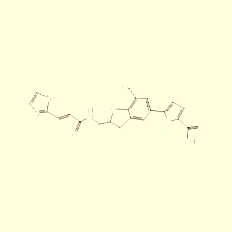 CC(=O)c1ccc(-c2cc(Cl)c3c(c2)CC(CNC(=O)C=Cc2ncc[nH]2)O3)s1